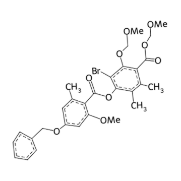 COCOC(=O)c1c(C)c(C)c(OC(=O)c2c(C)cc(OCc3ccccc3)cc2OC)c(Br)c1OCOC